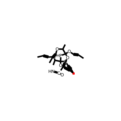 CC#COC(C)C(OC#CC)(OC#CC)PC(OC#CC)(OC#CC)C(C)OC#CC.N=C=O